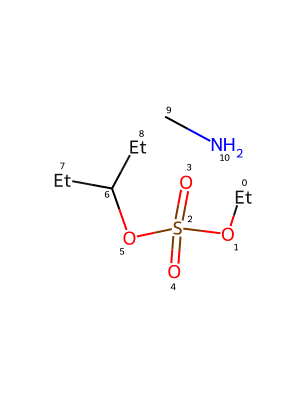 CCOS(=O)(=O)OC(CC)CC.CN